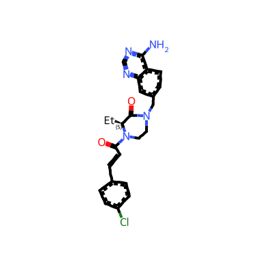 CC[C@H]1C(=O)N(Cc2ccc3c(N)ncnc3c2)CCN1C(=O)C=Cc1ccc(Cl)cc1